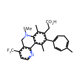 CSN1Cc2c(C(F)(F)F)ccnc2-c2c(C)c(C3=CCC=C(C)C=C3)c(CC(=O)O)c(C)c21